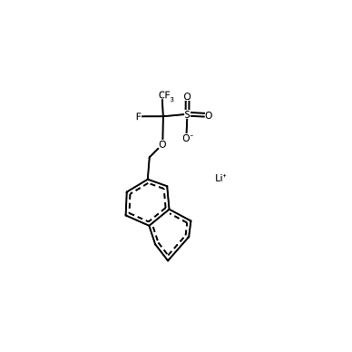 O=S(=O)([O-])C(F)(OCc1ccc2ccccc2c1)C(F)(F)F.[Li+]